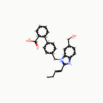 CCC=Cc1nc2ccc(CO)cc2n1Cc1ccc(-c2ccccc2C(=O)O)cc1